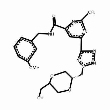 COc1cccc(CNC(=O)c2cc(-c3nnn(C[C@H]4COC(CO)CO4)n3)nc(C)n2)c1